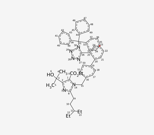 CCOC(=O)c1c(C(C)(C)O)nc(CCC(CC)CC)n1Cc1ccc(-c2ccccc2-c2nnnn2C(c2ccccc2)(c2ccccc2)c2ccccc2)cc1